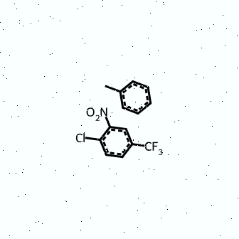 Cc1ccccc1.O=[N+]([O-])c1cc(C(F)(F)F)ccc1Cl